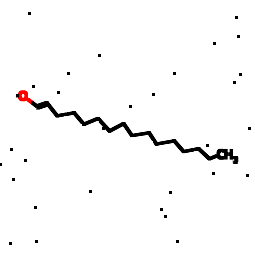 CCCCCCCCCCCCCCC=C[O]